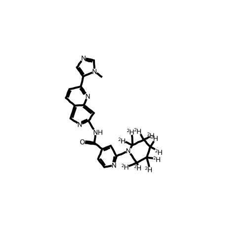 [2H]C1([2H])N(c2cc(C(=O)Nc3cc4nc(-c5cncn5C)ccc4cn3)ccn2)C([2H])([2H])C([2H])([2H])C([2H])([2H])C1([2H])[2H]